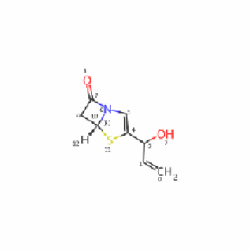 C=CC(O)C1=CN2C(=O)C[C@H]2S1